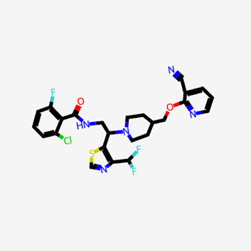 N#Cc1cccnc1OCC1CCN(C(CNC(=O)c2c(F)cccc2Cl)c2scnc2C(F)F)CC1